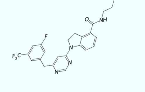 O=C(NCCCO)c1cccc2c1CCN2c1cc(Cc2cc(F)cc(C(F)(F)F)c2)ncn1